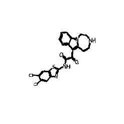 O=C(Nc1nc2cc(Cl)c(Cl)cc2s1)C(=O)c1c2n(c3ccccc13)CCNCC2